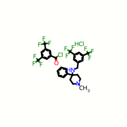 CN1CCC(NCc2cc(C(F)(F)F)cc(C(F)(F)F)c2)(c2ccccc2)CC1.Cl.O=C(Cl)c1cc(C(F)(F)F)cc(C(F)(F)F)c1